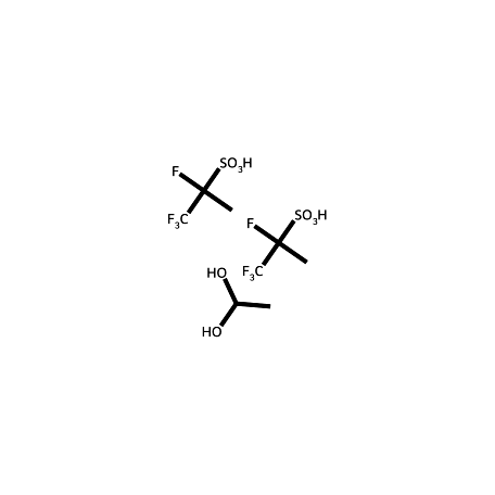 CC(F)(C(F)(F)F)S(=O)(=O)O.CC(F)(C(F)(F)F)S(=O)(=O)O.CC(O)O